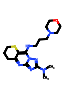 CN(C)c1nc2nc3c(c(NCCCN4CCOCC4)n2n1)SCCC3